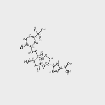 N[C@@H]1C[C@@H]2O[C@@H](c3nc(C(=O)O)cs3)CC[C@@H]2C1COc1cc(C(F)(F)F)ccc1Cl